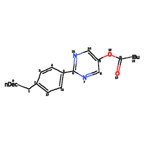 CCCCCCCCCCCc1ccc(-c2ncc(OC(=O)C(C)CC)cn2)cc1